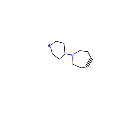 C1#CCCN(C2CCNCC2)CC1